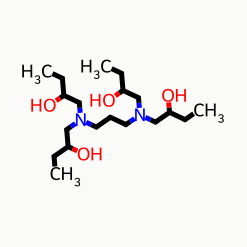 CCC(O)CN(CCCN(CC(O)CC)CC(O)CC)CC(O)CC